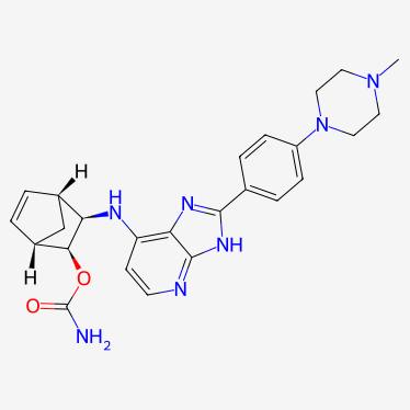 CN1CCN(c2ccc(-c3nc4c(N[C@H]5[C@@H](OC(N)=O)[C@@H]6C=C[C@H]5C6)ccnc4[nH]3)cc2)CC1